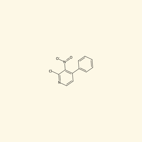 O=[N+]([O-])c1c(-c2ccccc2)ccnc1Cl